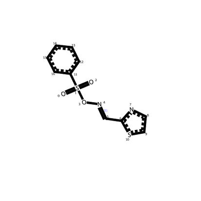 O=S(=O)(O/N=C/c1nccs1)c1ccccc1